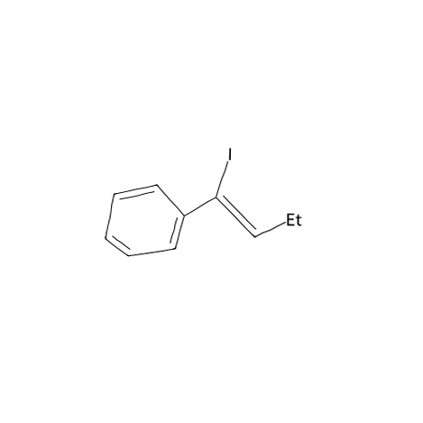 CCC=C(I)c1ccccc1